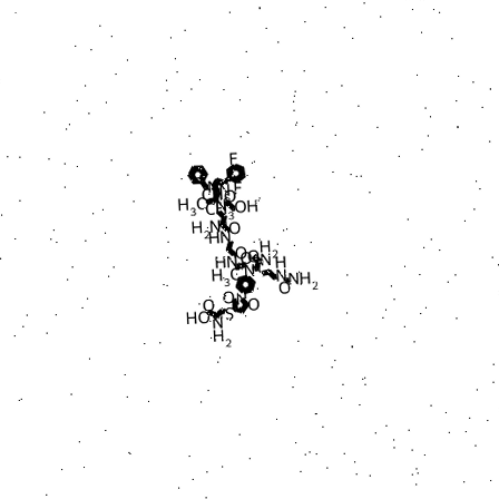 C[C@H](NC(=O)CCNC(=O)[C@@H](N)CCN(C(=O)CO)[C@@H](c1nc(-c2cc(F)ccc2F)cn1Cc1ccccc1)C(C)(C)C)C(=O)N(c1ccc(N2C(=O)CC(SC[C@H](N)C(=O)O)C2=O)cc1)[C@@H](CCCNC(N)=O)C(N)=O